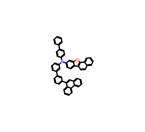 c1ccc(-c2ccc(N(c3cccc(-c4cccc(-c5cc6ccccc6c6ccccc56)c4)c3)c3ccc4c(c3)oc3c5ccccc5ccc43)cc2)cc1